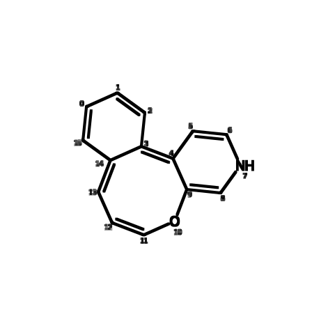 c1ccc2c3cc[nH]cc-3occcc2c1